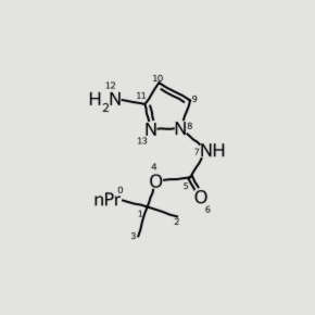 CCCC(C)(C)OC(=O)Nn1ccc(N)n1